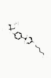 CCCCCOc1cnc(-c2ccc(OC(C)(CC)C(=O)O)cc2)nc1